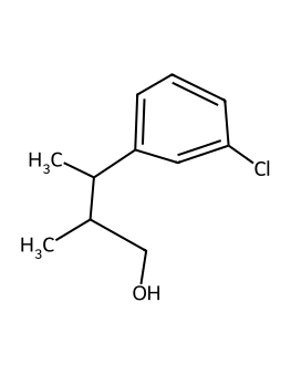 CC(CO)C(C)c1cccc(Cl)c1